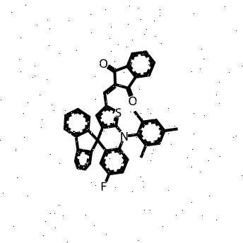 Cc1cc(C)c(N2c3ccc(F)cc3C3(c4ccccc4-c4ccccc43)c3cc(C=C4C(=O)c5ccccc5C4=O)sc32)c(C)c1